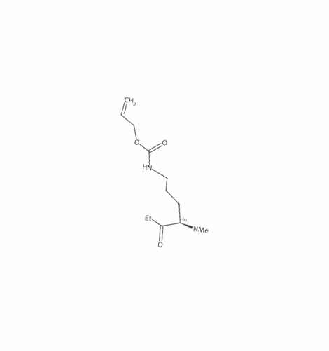 C=CCOC(=O)NCCC[C@@H](NC)C(=O)CC